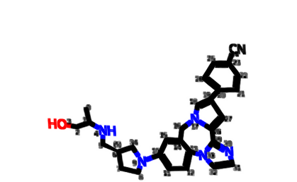 CC(CO)NC[C@@H]1CCN(c2ccc3c(c2)Cn2cc(-c4ccc(C#N)cc4)cc2-c2nccn2-3)C1